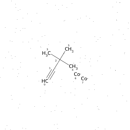 C#CC(C)(C)C.[Co].[Co]